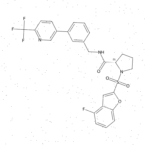 O=C(NCc1cccc(-c2ccc(C(F)(F)F)nc2)c1)[C@@H]1CCCN1S(=O)(=O)c1cc2c(F)cccc2o1